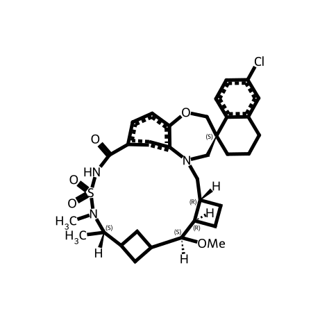 CO[C@H]1C2CC(C2)[C@H](C)N(C)S(=O)(=O)NC(=O)c2ccc3c(c2)N(C[C@@H]2CC[C@H]21)C[C@@]1(CCCc2cc(Cl)ccc21)CO3